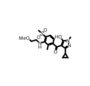 COCCNc1c(S(C)(=O)=O)ccc(C(=O)c2c(C3CC3)nn(C)c2O)c1C